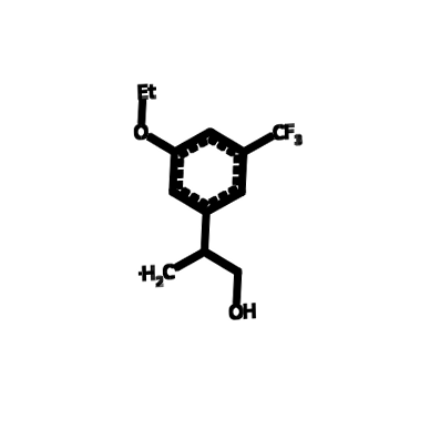 [CH2]C(CO)c1cc(OCC)cc(C(F)(F)F)c1